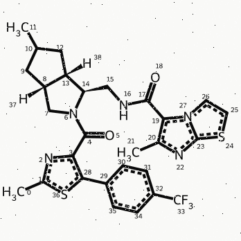 Cc1nc(C(=O)N2C[C@@H]3CC(C)C[C@@H]3[C@H]2CNC(=O)c2c(C)nc3sccn23)c(-c2ccc(C(F)(F)F)cc2)s1